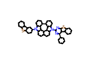 c1ccc(-c2nc(-n3c4cccc5c4c4c6c(ccc7c6c6c-5cccc6n7-c5ccc6sc7ccccc7c6c5)ccc43)nc3sc4ccccc4c23)cc1